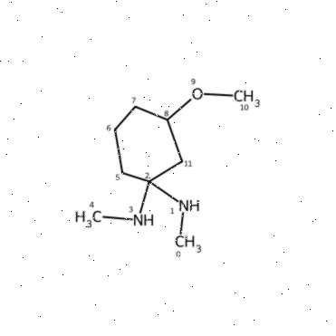 CNC1(NC)CCCC(OC)C1